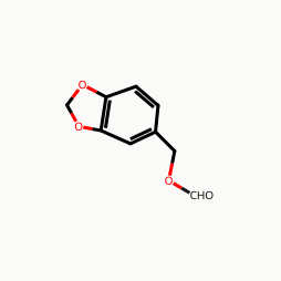 O=COCc1ccc2c(c1)OCO2